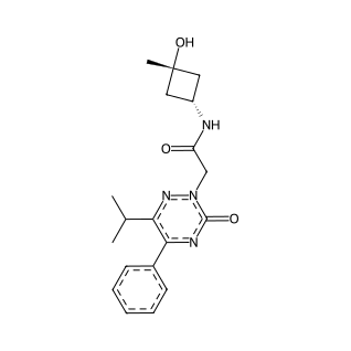 CC(C)c1nn(CC(=O)N[C@H]2C[C@@](C)(O)C2)c(=O)nc1-c1ccccc1